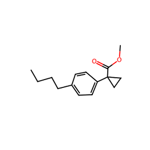 CCCCc1ccc(C2(C(=O)OC)CC2)cc1